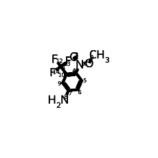 CO[N+](=O)c1ccc(N)cc1C(F)(F)F